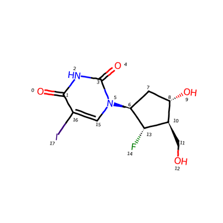 O=c1[nH]c(=O)n([C@H]2C[C@H](O)[C@@H](CO)[C@@H]2F)cc1I